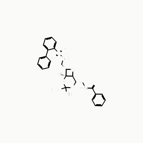 CC1(C)O[C@@H](CNC(=O)c2ccccc2)C2O[C@H](CNS(=O)(=O)c3ccccc3-c3ccccc3)[C@H]2O1